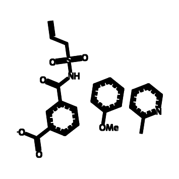 C=CCS(=O)(=O)NC(=O)c1cccc(C([O])=O)c1.COc1ccccc1.Cc1ccccn1